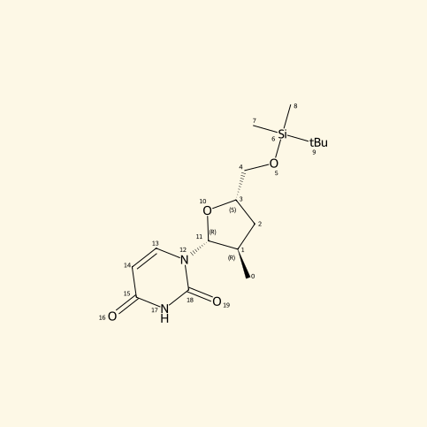 C[C@@H]1C[C@@H](CO[Si](C)(C)C(C)(C)C)O[C@H]1n1ccc(=O)[nH]c1=O